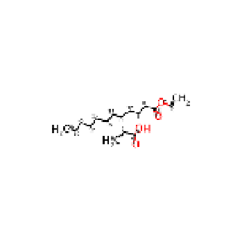 C=CC(=O)O.C=COC(=O)CCCCCCCCCCC